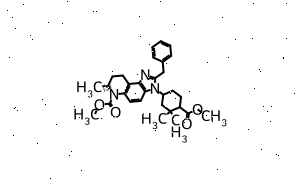 COC(=O)C1CCC(n2c(Cc3ccccc3)nc3c4c(ccc32)N(C(=O)OC)[C@@H](C)CC4)CC1(C)C